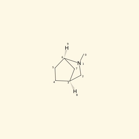 CN1C[C@H]2CC[C@@H]1C2